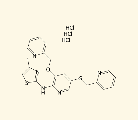 Cc1csc(Nc2ncc(SCc3ccccn3)cc2OCc2ccccn2)n1.Cl.Cl.Cl